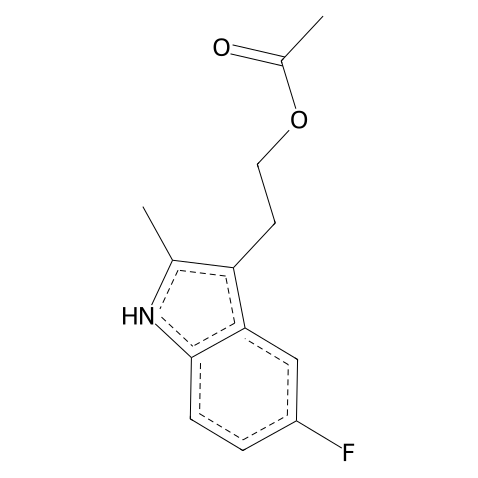 CC(=O)OCCc1c(C)[nH]c2ccc(F)cc12